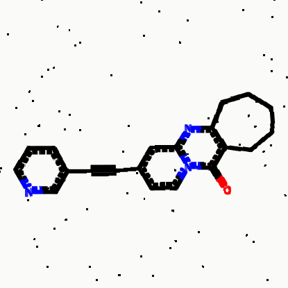 O=c1c2c(nc3cc(C#Cc4cccnc4)ccn13)CCCCC2